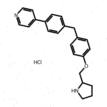 Cl.c1cc(-c2ccc(Cc3ccc(OCC4CCCN4)cc3)cc2)ccn1